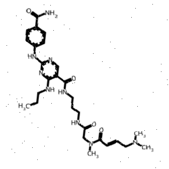 CCCNc1nc(Nc2ccc(C(N)=O)cc2)ncc1C(=O)NCCCNC(=O)CN(C)C(=O)/C=C/CN(C)C